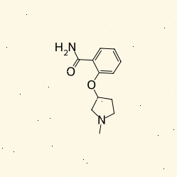 CN1CCC(Oc2ccccc2C(N)=O)C1